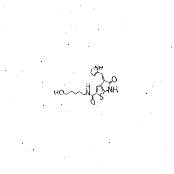 O=C1Nc2sc(C(=O)NCCCCCO)cc2/C1=C\c1ccc[nH]1